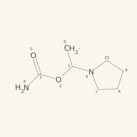 [CH2]C(OC(N)=O)N1CCCC1